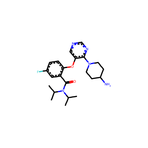 CC(C)N(C(=O)c1cc(F)ccc1Oc1cncnc1N1CCC(N)CC1)C(C)C